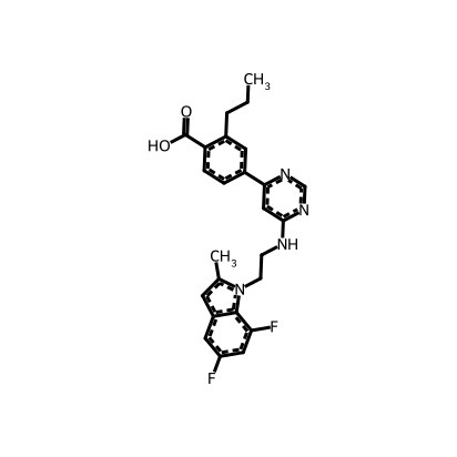 CCCc1cc(-c2cc(NCCn3c(C)cc4cc(F)cc(F)c43)ncn2)ccc1C(=O)O